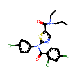 CCCN(CC)C(=O)c1cnc(N(C(=O)c2ccc(Cl)cc2Cl)c2ccc(Cl)cc2)s1